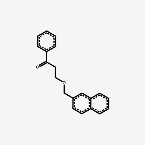 O=C(CCOCc1ccc2ccccc2c1)c1ccccc1